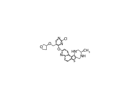 C[C@@H]1CNc2c(sc3ccc4nc(Oc5nc(Cl)ncc5CO[C@H]5CCOC5)ccc4c23)CN1